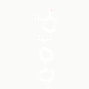 O=C(Oc1ccc(O)c(Cl)c1)c1ccc(-c2ccc(O)cc2)cc1